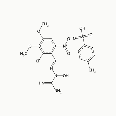 COc1cc([N+](=O)[O-])c(/C=N/N(O)C(=N)N)c(Cl)c1OC.Cc1ccc(S(=O)(=O)O)cc1